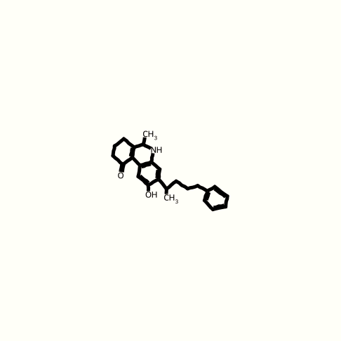 CC1Nc2cc(C(C)CCCc3ccccc3)c(O)cc2C2=C1CCCC2=O